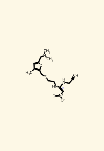 C#CCN/C(=C/[N+](=O)[O-])NCCSCc1oc(CN(C)C)cc1C